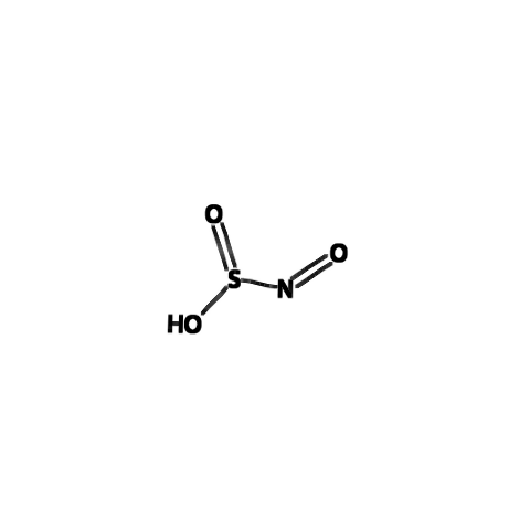 O=NS(=O)O